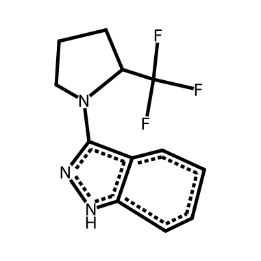 FC(F)(F)C1CCCN1c1n[nH]c2ccccc12